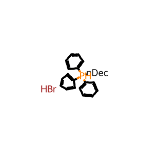 Br.CCCCCCCCCC[PH](c1ccccc1)(c1ccccc1)c1ccccc1